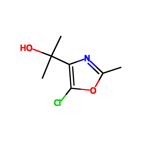 Cc1nc(C(C)(C)O)c(Cl)o1